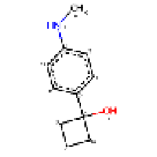 CNc1ccc(C2(O)CCC2)cc1